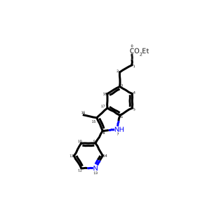 CCOC(=O)CCc1ccc2[nH]c(-c3cccnc3)c(C)c2c1